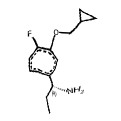 CC[C@@H](N)c1ccc(F)c(OCC2CC2)c1